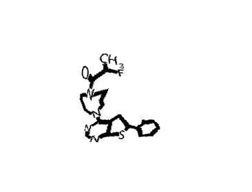 CC(F)C(=O)N1CCN(c2ncnc3sc(-c4ccccc4)cc23)CC1